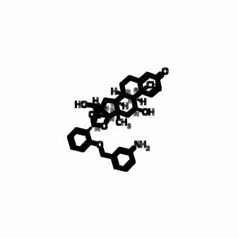 C[C@]12C=CC(=O)C=C1CC[C@@H]1[C@@H]2[C@@H](O)C[C@@]2(C)[C@H]1C[C@H]1O[C@@H](c3ccccc3OCc3cccc(N)c3)O[C@]12C(=O)CO